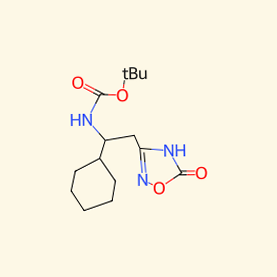 CC(C)(C)OC(=O)NC(Cc1noc(=O)[nH]1)C1CCCCC1